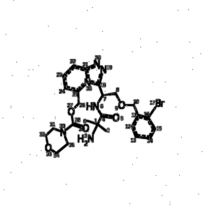 CC(C)(N)C(=O)N[C@H](COCc1ccccc1Br)c1nnc2cccc(COC(=O)N3CCOCC3)n12